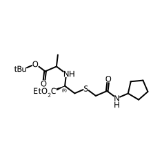 CCOC(=O)[C@H](CSCC(=O)NC1CCCC1)NC(C)C(=O)OC(C)(C)C